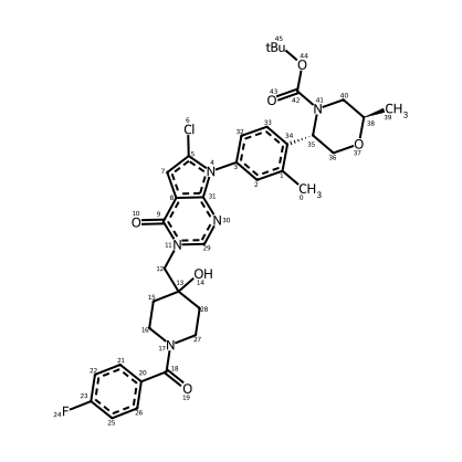 Cc1cc(-n2c(Cl)cc3c(=O)n(CC4(O)CCN(C(=O)c5ccc(F)cc5)CC4)cnc32)ccc1[C@H]1CO[C@H](C)CN1C(=O)OC(C)(C)C